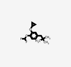 CC(C)(C)Cc1ccc(OC(F)F)c(OC2CC2)c1